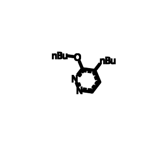 [CH2]CCCc1ccnnc1OCCCC